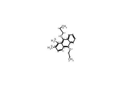 CCCOc1c2ccccc2c(OCCC)c2c(C)c(C)ccc12